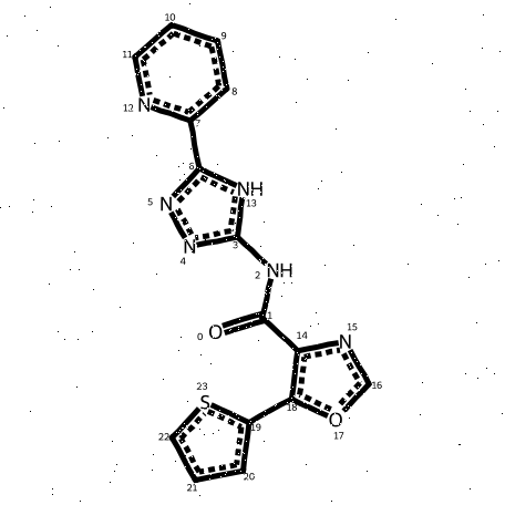 O=C(Nc1nnc(-c2ccccn2)[nH]1)c1ncoc1-c1cccs1